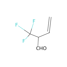 C=CC(C=O)C(F)(F)F